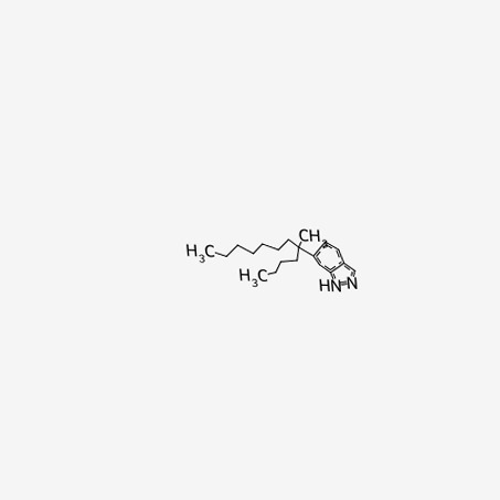 CCCCCCCC(C)(CCCC)c1ccc2cn[nH]c2c1